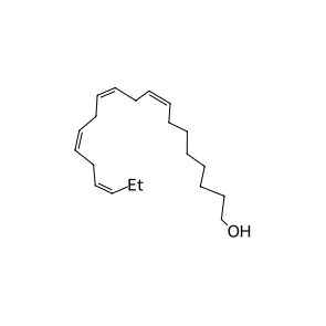 CC/C=C\C/C=C\C/C=C\C/C=C\CCCCCCCO